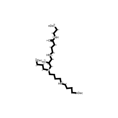 CCCCCCCCCCCCCCNCCCCN(CCCCCCCCCCCCC)CC(O)CNCCCC(=O)NCCCCCCCCCCCC